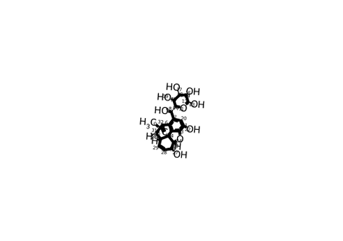 CN1CC[C@]23c4c5c(C(O)[C@H]6O[C@@H](O)[C@H](O)[C@@H](O)[C@@H]6O)cc(O)c4O[C@H]2[C@@H](O)C=C[C@H]3[C@H]1C5